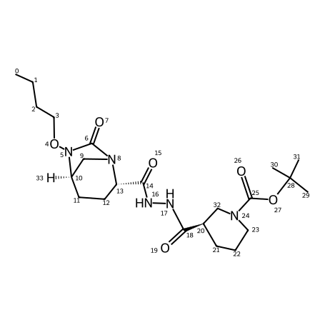 CCCCON1C(=O)N2C[C@H]1CC[C@H]2C(=O)NNC(=O)[C@@H]1CCCN(C(=O)OC(C)(C)C)C1